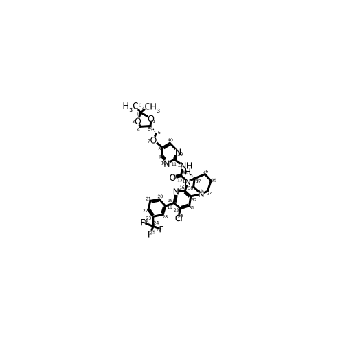 CC1(C)OC[C@@H](COc2cnc(NC(=O)N3c4nc(-c5cccc(C(F)(F)F)c5)c(Cl)cc4N4CCC[C@H]3C4)nc2)O1